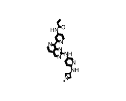 C=CC(=O)Nc1ccnc(-c2nccc3cnc(Nc4ccc(NC5CN(C)C5)nc4)nc23)c1